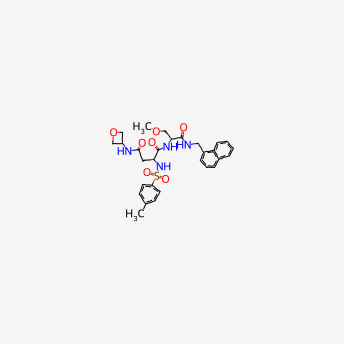 COC[C@H](NC(=O)[C@H](CC(=O)NC1COC1)NS(=O)(=O)c1ccc(C)cc1)C(=O)NCc1cccc2ccccc12